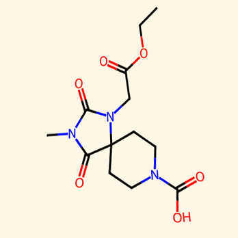 CCOC(=O)CN1C(=O)N(C)C(=O)C12CCN(C(=O)O)CC2